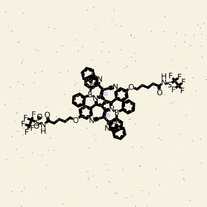 N#C/C(c1nc2ccccc2o1)=c1\c2c(-c3ccc(OCCCCC(=O)NS(=O)(=O)C(F)(F)C(F)(F)F)cc3)n(B(c3ccccc3)c3ccccc3)/c(=C(/C#N)c3nc4ccccc4o3)c2c(-c2ccc(OCCCCC(=O)NSC(F)(F)C(F)(F)F)cc2)n1B(c1ccccc1)c1ccccc1